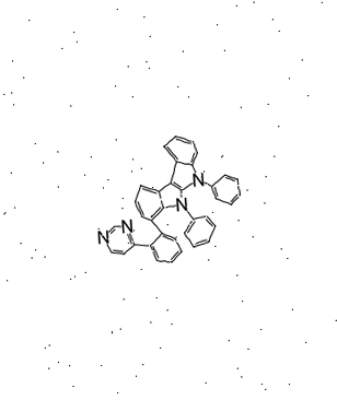 c1ccc(-n2c3ccccc3c3c4cccc(-c5ccccc5-c5ccncn5)c4n(-c4ccccc4)c32)cc1